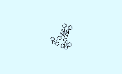 c1ccc(-c2nc3nc(-c4ccc(C5c6ccccc6Oc6ccccc65)cc4)c(-c4ccc(N5c6ccccc6Oc6ccccc65)cc4)nc3nc2-c2ccccc2)cc1